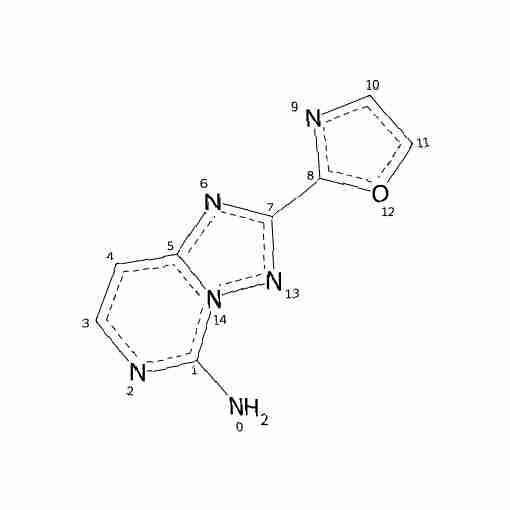 Nc1nccc2nc(-c3ncco3)nn12